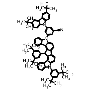 CC(C)(C)c1cc(C2c3c(ccc4c3c3ccccc3n4-c3cc(C#N)cc(-n4c5ccc(C(C)(C)C)cc5c5cc(C(C)(C)C)ccc54)c3)-c3ccc4c(c32)c2ccccc2n4-c2cc(C(C)(C)C)cc(C(C)(C)C)c2)cc(C(C)(C)C)c1